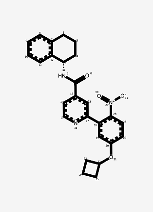 O=C(N[C@H]1CCCc2ccccc21)c1ccnc(-c2cc(OC3CCC3)ccc2[N+](=O)[O-])c1